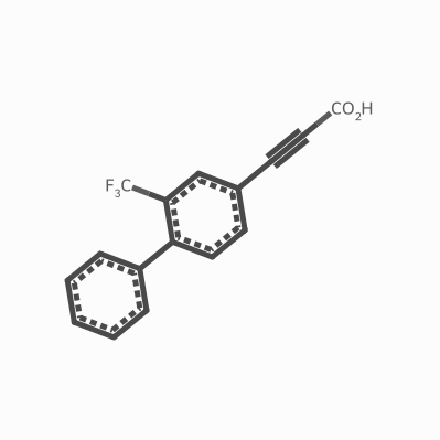 O=C(O)C#Cc1ccc(-c2ccccc2)c(C(F)(F)F)c1